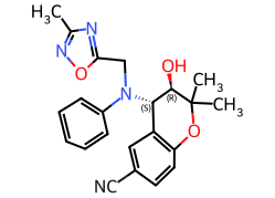 Cc1noc(CN(c2ccccc2)[C@H]2c3cc(C#N)ccc3OC(C)(C)[C@@H]2O)n1